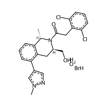 Br.C[C@H]1c2cccc(-c3cnn(C)c3)c2C[C@H](CO)N1C(=O)Cc1c(Cl)cccc1Cl.O